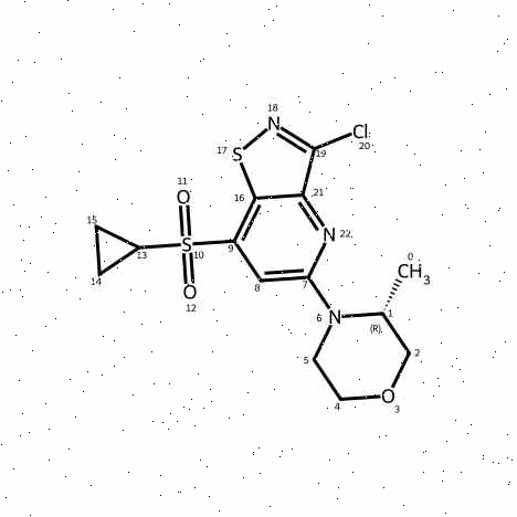 C[C@@H]1COCCN1c1cc(S(=O)(=O)C2CC2)c2snc(Cl)c2n1